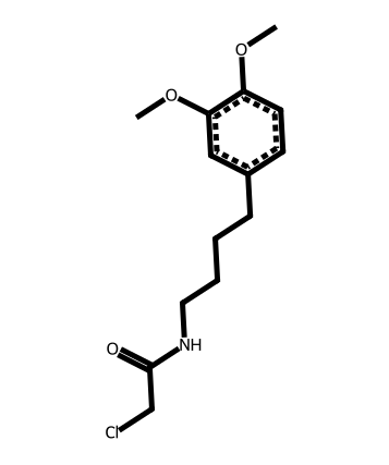 COc1ccc(CCCCNC(=O)CCl)cc1OC